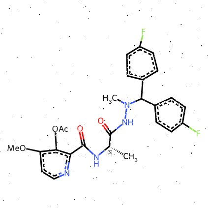 COc1ccnc(C(=O)N[C@@H](C)C(=O)NN(C)C(c2ccc(F)cc2)c2ccc(F)cc2)c1OC(C)=O